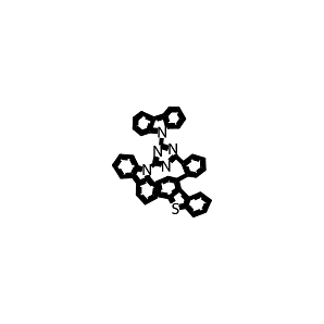 c1ccc(-c2cccc3sc4ccccc4c23)c(-c2nc(-n3c4ccccc4c4ccccc43)nc(-n3c4ccccc4c4ccccc43)n2)c1